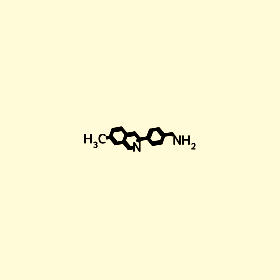 Cc1ccc2cc(-c3ccc(CN)cc3)ncc2c1